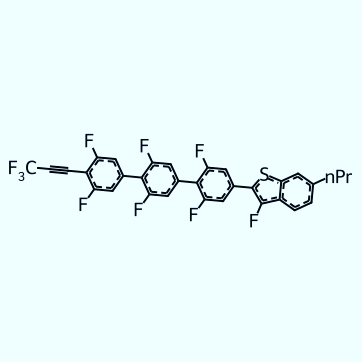 CCCc1ccc2c(F)c(-c3cc(F)c(-c4cc(F)c(-c5cc(F)c(C#CC(F)(F)F)c(F)c5)c(F)c4)c(F)c3)sc2c1